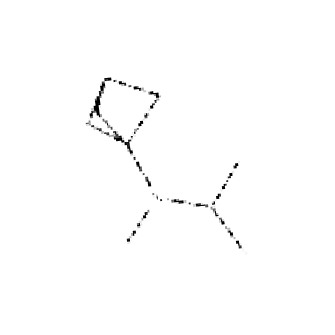 CC(C)N(C)C12CC(C1)C2